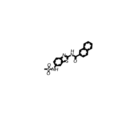 CS(=O)(=O)Nc1ccc2nc(NC(=O)c3ccc4ccccc4c3)sc2c1